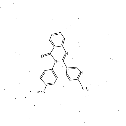 CSc1ccc(-n2c(-c3ccc(C)nc3)nc3ccccc3c2=O)cc1